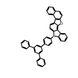 c1ccc(-c2cc(-c3ccccc3)cc(-c3ccc(-n4c5ccccc5c5c6oc7ccc8ccccc8c7c6ccc54)cc3)c2)cc1